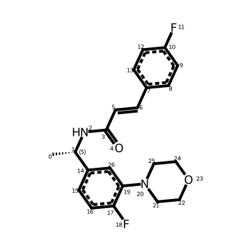 C[C@H](NC(=O)C=Cc1ccc(F)cc1)c1ccc(F)c(N2CCOCC2)c1